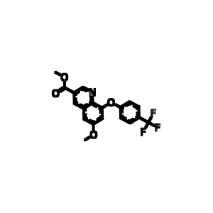 COC(=O)c1cnc2c(Oc3ccc(C(F)(F)F)cc3)cc(OC)cc2c1